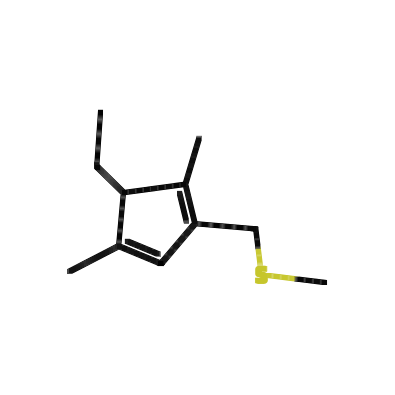 CCC1C(C)=CC(CSC)=C1C